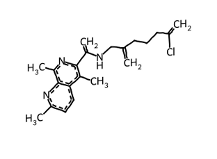 C=C(Cl)CCCC(=C)CNC(=C)c1nc(C)c2nc(C)ccc2c1C